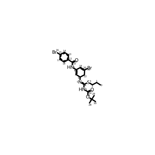 CCCS/C(=N\C1C=C(NC(=O)c2ccc(Br)cc2)C=C(Br)C1)NC(=O)OC(C)(C)C